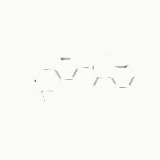 Nc1cccnc1C(=O)Nc1ccc2c(c1)OC(F)(F)C(F)(F)O2